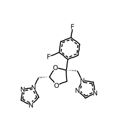 Fc1ccc([C@@]2(Cn3cncn3)CO[C@H](Cn3cncn3)O2)c(F)c1